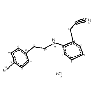 C#CCc1ccccc1NCCc1ccc(Br)cc1.Cl